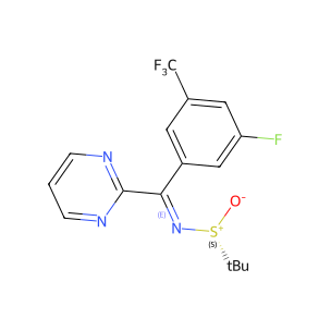 CC(C)(C)[S@@+]([O-])/N=C(\c1cc(F)cc(C(F)(F)F)c1)c1ncccn1